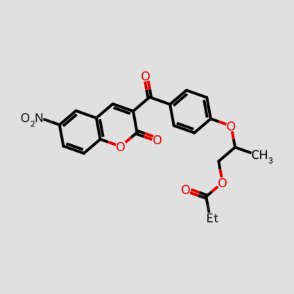 CCC(=O)OCC(C)Oc1ccc(C(=O)c2cc3cc([N+](=O)[O-])ccc3oc2=O)cc1